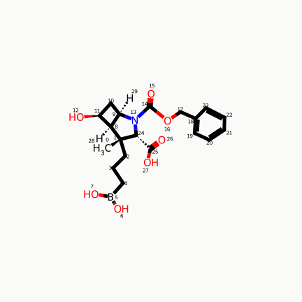 C[C@@]1(CCCB(O)O)[C@@H]2[C@@H](C[C@@H]2O)N(C(=O)OCc2ccccc2)[C@@H]1C(=O)O